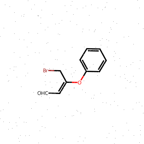 O=CC=C(CBr)Oc1ccccc1